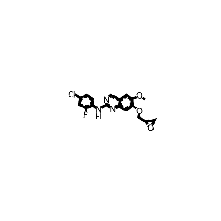 COc1cc2cnc(Nc3ccc(Cl)cc3F)nc2cc1OCC1CO1